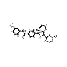 CCN1CCO[C@@H](C2=C3C=NC=C[N+]3(N)C(c3ccc(C(=O)Nc4cc(C(F)(F)F)ccn4)cc3)=N2)C1